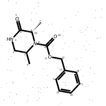 CC1CNC(=O)[C@H](C)N1C(=O)OCc1ccccc1